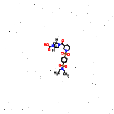 CCN(CC)S(=O)(=O)c1ccc(S(=O)(=O)N2CCCC(C(=O)N3C[C@@H]4C[C@H]3CN4C(=O)O)C2)cc1